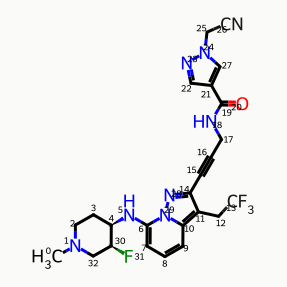 CN1CC[C@@H](Nc2cccc3c(CC(F)(F)F)c(C#CCNC(=O)c4cnn(CC#N)c4)nn23)[C@@H](F)C1